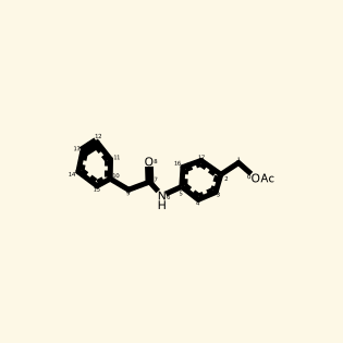 CC(=O)OCc1ccc(NC(=O)Cc2cc#ccc2)cc1